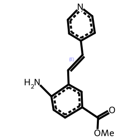 COC(=O)c1ccc(N)c(/C=C/c2ccncc2)c1